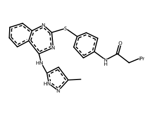 Cc1cc(Nc2nc(Sc3ccc(NC(=O)CC(C)C)cc3)nc3ccccc23)[nH]n1